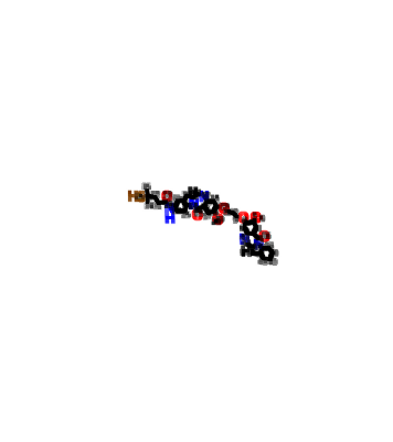 COc1cc2c(cc1OCCCOc1cc3c(cc1OC)C(=O)N1c4ccc(NC(=O)CCC(C)(C)S)cc4C[C@H]1C=N3)N=C[C@@H]1Cc3ccccc3N1C2=O